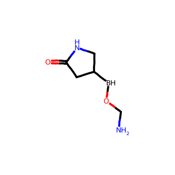 NCOBC1CNC(=O)C1